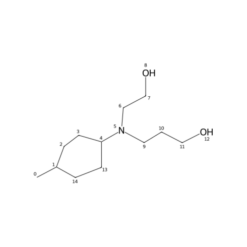 CC1CCC(N(CCO)CCCO)CC1